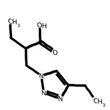 CCc1cn(CC(CC)C(=O)O)nn1